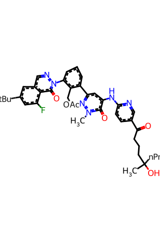 CCCC(C)(O)CCCC(=O)c1ccc(Nc2cc(-c3cccc(-n4ncc5cc(C(C)(C)C)cc(F)c5c4=O)c3COC(C)=O)nn(C)c2=O)nc1